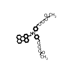 C=CC(=O)OCOCOCc1ccc(N(/N=C/c2ccc3c4c(cccc24)C2=C4C(=CC=CC43)CC=C2)c2ccc(COCOCOC(=O)C=C)cc2)cc1